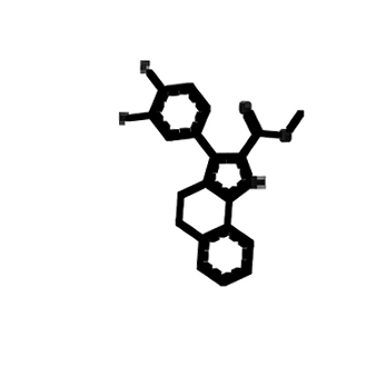 COC(=O)c1[nH]c2c(c1-c1ccc(F)c(F)c1)CCc1ccccc1-2